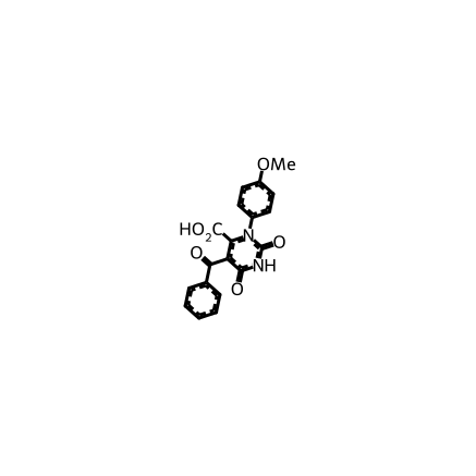 COc1ccc(-n2c(C(=O)O)c(C(=O)c3ccccc3)c(=O)[nH]c2=O)cc1